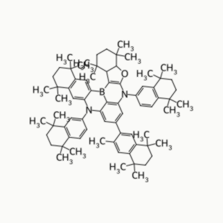 Cc1cc2c(cc1-c1cc3c4c(c1)N(c1ccc5c(c1)C(C)(C)CCC5(C)C)c1cc5c(cc1B4C1=C(OC4C1C(C)(C)CCC4(C)C)N3c1ccc3c(c1)C(C)(C)CCC3(C)C)C(C)(C)CCC5(C)C)C(C)(C)CCC2(C)C